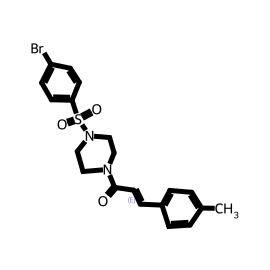 Cc1ccc(/C=C/C(=O)N2CCN(S(=O)(=O)c3ccc(Br)cc3)CC2)cc1